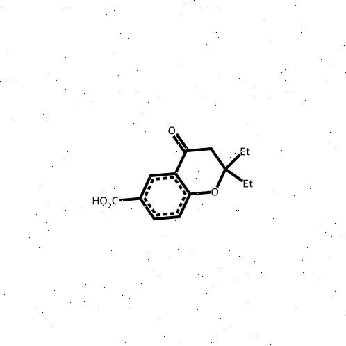 CCC1(CC)CC(=O)c2cc(C(=O)O)ccc2O1